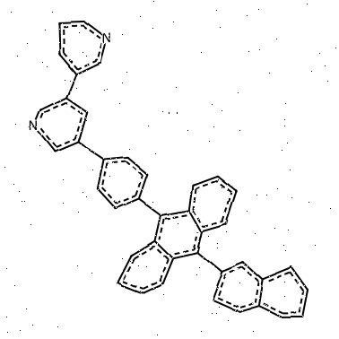 c1cncc(-c2cncc(-c3ccc(-c4c5ccccc5c(-c5ccc6ccccc6c5)c5ccccc45)cc3)c2)c1